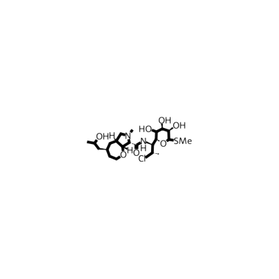 CSC1O[C@H]([C@H](NC(=O)[C@@H]2[C@@H]3OCC[C@@H](CC(C)O)C[C@H]3CN2C)[C@H](C)Cl)C(O)[C@@H](O)[C@H]1O